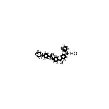 O=CN(c1ccc(C(=O)c2ccc(NC(=O)c3ccc(N4CCOCC4)cc3)cc2)cc1)c1cccnn1